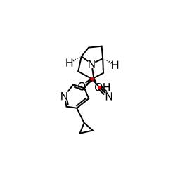 N#CC1(c2cncc(C3CC3)c2)C[C@H]2CC[C@@H](C1)N2C(=O)O